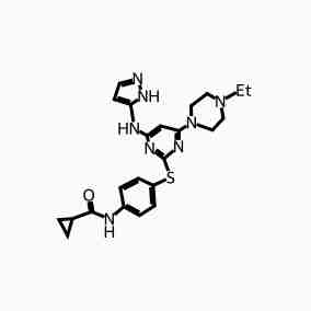 CCN1CCN(c2cc(Nc3ccn[nH]3)nc(Sc3ccc(NC(=O)C4CC4)cc3)n2)CC1